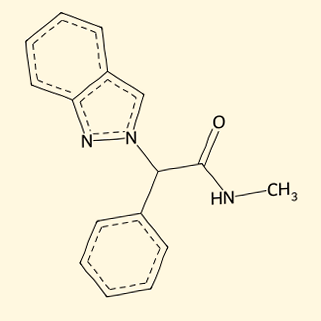 CNC(=O)C(c1ccccc1)n1cc2ccccc2n1